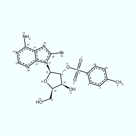 Cc1ccc(S(=O)(=O)O[C@@H]2[C@@H](O)[C@@H](CO)O[C@H]2n2c(Br)nc3c(N)ncnc32)cc1